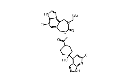 CC(C)(C)CN1Cc2c(cc(Cl)c3[nH]ccc23)C[C@@H](CC(=O)N2CCC(O)(c3cc(Cl)nc4[nH]ccc34)CC2)C1=O